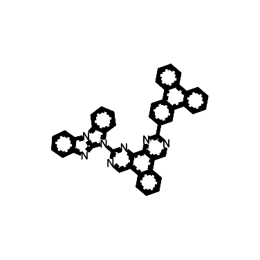 c1ccc2c(c1)nc1n(-c3ncc4c5ccccc5c5cnc(-c6ccc7c8ccccc8c8ccccc8c7c6)nc5c4n3)c3ccccc3n21